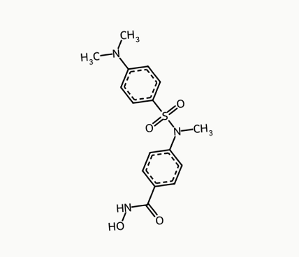 CN(C)c1ccc(S(=O)(=O)N(C)c2ccc(C(=O)NO)cc2)cc1